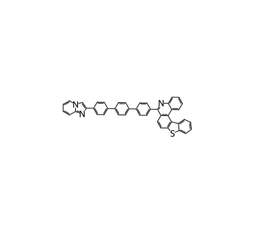 c1ccc2c(c1)nc(-c1ccc(-c3ccc(-c4ccc(-c5cn6ccccc6n5)cc4)cc3)cc1)c1ccc3sc4ccccc4c3c12